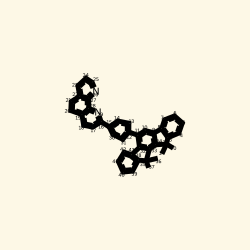 CC1(C)c2ccccc2-c2cc(-c3ccc(-c4ccc5ccc6cccnc6c5n4)cc3)c3c(c21)C(C)(C)c1ccccc1-3